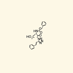 O=C(O)CC(NC(=O)OCc1ccccc1)C(=O)Cn1nnnc1C=Cc1ccccc1